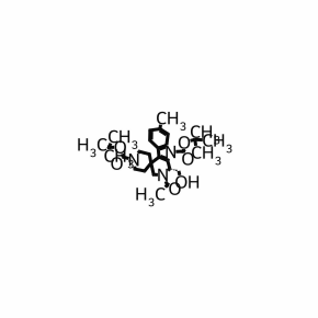 CC(=O)N1CC2(CCN(C(=O)OC(C)(C)C)CC2)c2c(n(C(=O)OC(C)(C)C)c3cc(C)ccc23)[C@@H]1CO